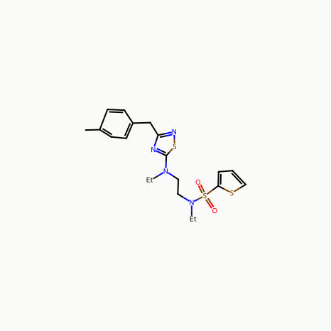 CCN(CCN(CC)S(=O)(=O)c1cccs1)c1nc(Cc2ccc(C)cc2)ns1